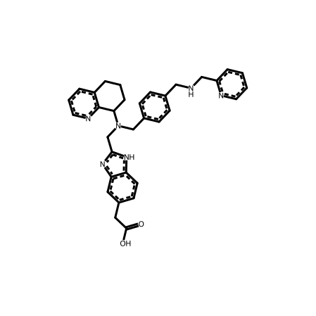 O=C(O)Cc1ccc2[nH]c(CN(Cc3ccc(CNCc4ccccn4)cc3)C3CCCc4cccnc43)nc2c1